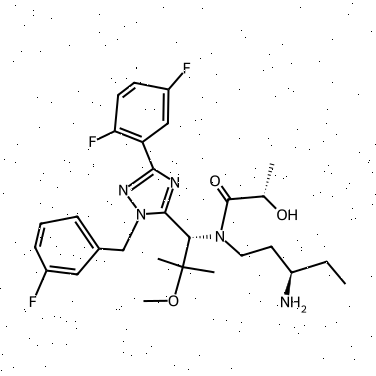 CC[C@@H](N)CCN(C(=O)[C@H](C)O)[C@@H](c1nc(-c2cc(F)ccc2F)nn1Cc1cccc(F)c1)C(C)(C)OC